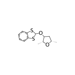 C[C@H]1CC(OC2Sc3ccccc3S2)[C@@H](C)O1